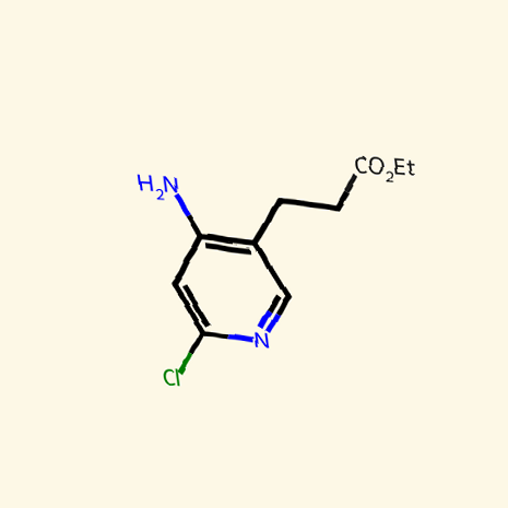 CCOC(=O)CCc1cnc(Cl)cc1N